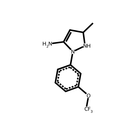 CC1C=C(N)N(c2cccc(OC(F)(F)F)c2)N1